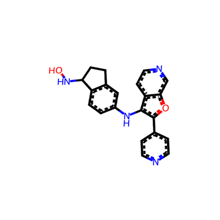 ONC1CCc2cc(Nc3c(-c4ccncc4)oc4cnccc34)ccc21